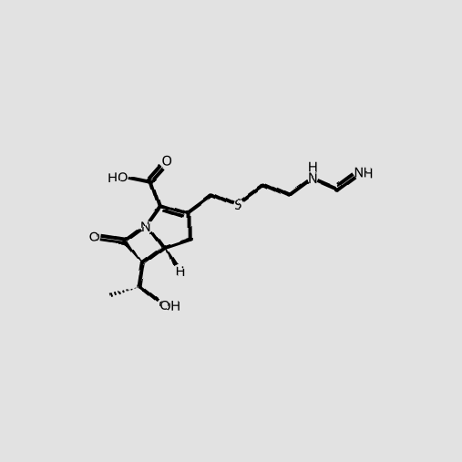 C[C@@H](O)[C@H]1C(=O)N2C(C(=O)O)=C(CSCCNC=N)C[C@H]12